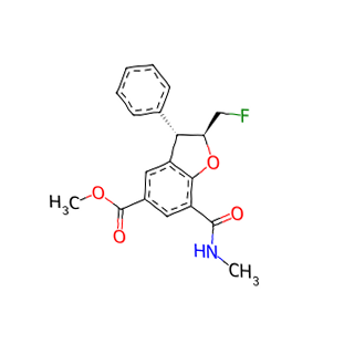 CNC(=O)c1cc(C(=O)OC)cc2c1O[C@H](CF)[C@H]2c1ccccc1